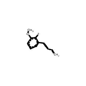 C=C/C=C/c1cccc(OC)c1F